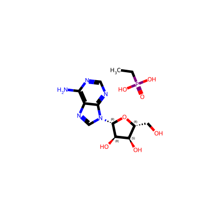 CCP(=O)(O)O.Nc1ncnc2c1ncn2[C@@H]1O[C@H](CO)[C@@H](O)[C@H]1O